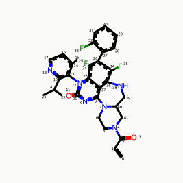 C=CC(=O)N1CCN2c3nc(=O)n(-c4c(C)ccnc4C(C)C)c4c(F)c(-c5ccccc5F)c(F)c(c34)NCC2C1